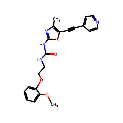 COc1ccccc1OCCNC(=O)Nc1nc(C)c(C#Cc2ccncc2)s1